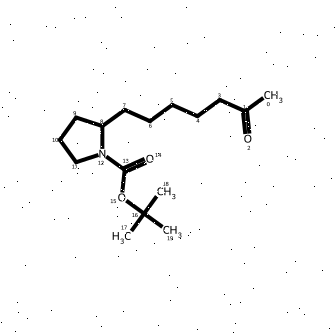 CC(=O)CCCCCC1CCCN1C(=O)OC(C)(C)C